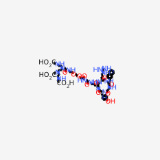 CN1C(=O)[C@@H](Cc2ccc(O)cc2)NC(=O)CNC(=O)[C@H](Cc2ccc3ccccc3c2)NC(=O)[C@H](CCCNC(=N)N)NC(=O)[C@H]1CCCNC(=O)CNC(=O)COCCOCCNC(=O)CN(CCNCC(=O)O)CCN(CCNCC(=O)O)CC(=O)O